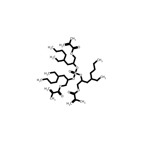 C=C(C)C(=O)OCC(CC(CC)CCCC)OP(=O)(OC(COC(=O)C(=C)C)CC(CC)CCCC)OC(COC(=O)C(=C)C)CC(CC)CCCC